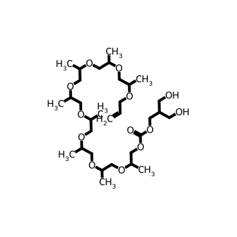 C=CCOC(C)COC(C)COC(C)COC(C)COC(C)COC(C)COC(C)COC(C)COC(=O)OCC(CO)CO